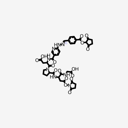 O=C(O)CNC(=O)C(CC(=O)ON1C(=O)CCC1=O)NC(=O)C1CCCN1C(=O)C(CC(=O)O)NC(=O)c1ccc(N/N=C/c2ccc(C(=O)OC3C(=O)CCC3=O)cc2)nc1